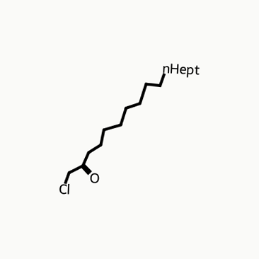 CCCCCCCCCCCCCCCC(=O)CCl